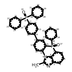 Cc1nc2cccc3c2n1-c1ccc(-c2ccc(P(=O)(c4ccccc4)c4ccccc4)cc2)cc1P3(=O)c1ccccc1